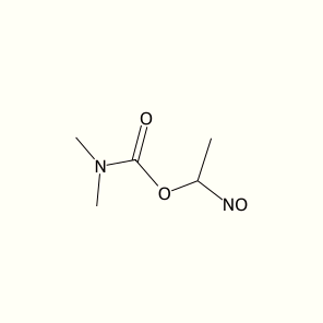 CC(N=O)OC(=O)N(C)C